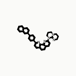 c1ccc2cc(-c3ccc(-c4ccc5ccc6ccc(N7CCCN8CCCN=C87)nc6c5n4)cc3)ccc2c1